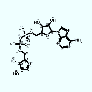 Nc1ncnc2c1ncn2C1OC(COP(=O)(O)OP(=O)(O)OC[C@H]2[O+]=C[C@H](O)[C@@H]2O)C(O)C1O